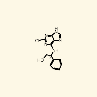 OC[C@@H](Nc1nc(Cl)nc2[nH]cnc12)c1ccccc1